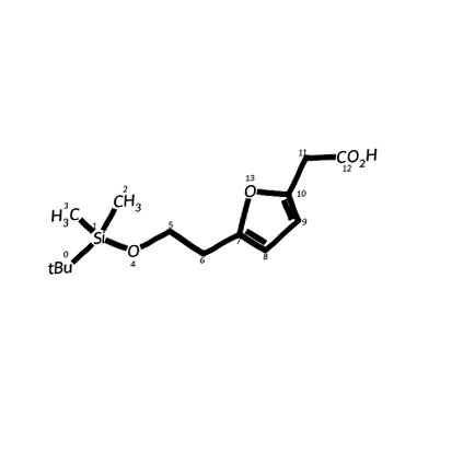 CC(C)(C)[Si](C)(C)OCCc1ccc(CC(=O)O)o1